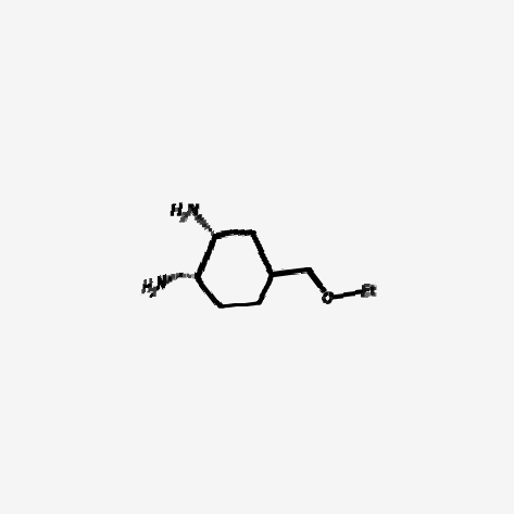 CCOCC1CC[C@H](N)[C@H](N)C1